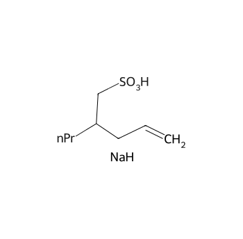 C=CCC(CCC)CS(=O)(=O)O.[NaH]